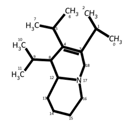 CC(C)C1=C(C(C)C)C(C(C)C)C2CCCCN2C1